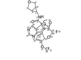 C[C@@](C(=O)NC1C2COCC21)(c1cncnc1)N(C(=O)[C@H](F)Cl)C1=CC=C(OC(F)(F)F)C1